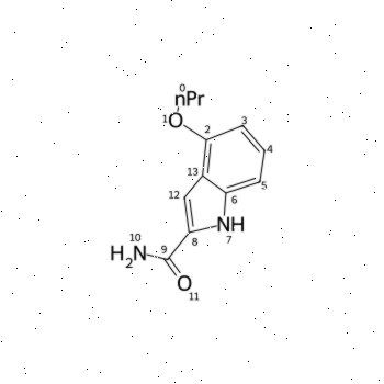 CCCOc1cccc2[nH]c(C(N)=O)cc12